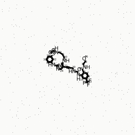 COCCNCc1ccc(C(F)(F)F)cc1NC(=O)NCC#Cc1cnc2nc1NCCCNS(=O)(=O)c1cccc(c1)N2